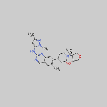 Cc1cc(Nc2ncc3cc(C)c(C4CCN([C@]5(C)COC[C@@H]5O)CC4)cc3n2)n(C)n1